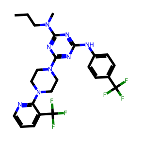 CCCN(C)c1nc(Nc2ccc(C(F)(F)F)cc2)nc(N2CCN(c3ncccc3C(F)(F)F)CC2)n1